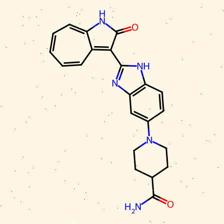 NC(=O)C1CCN(c2ccc3[nH]c(-c4c5cccccc-5[nH]c4=O)nc3c2)CC1